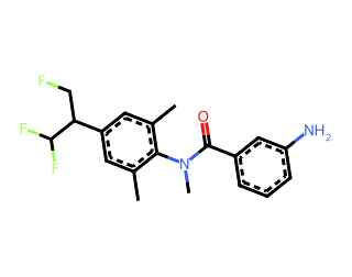 Cc1cc(C(CF)C(F)F)cc(C)c1N(C)C(=O)c1cccc(N)c1